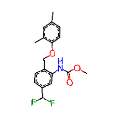 COC(=O)Nc1cc(C(F)F)ccc1COc1ccc(C)cc1C